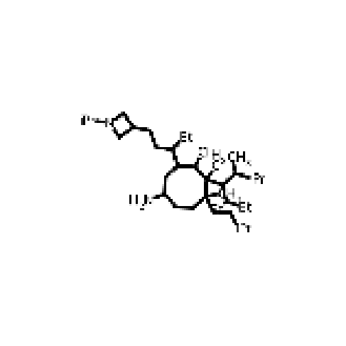 CCC(CCC1CN(C(C)C)C1)C1CC(N)CCC(C)(CCC(C)C)C(C)(C(C(CC)CC)C(C)C(C)C)C1Cl